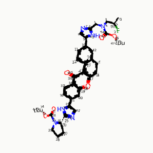 C[C@@H](F)CN(Cc1ncc(-c2ccc3c(ccc4oc5cc(-c6cnc([C@@H]7CCCN7C(=O)OC(C)(C)C)[nH]6)ccc5c(=O)c43)c2)[nH]1)C(=O)OC(C)(C)C